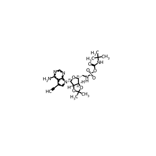 C#Cc1cn([C@@H]2O[C@H](CNS(=O)(=O)OC(=O)NC(C)(C)C)[C@H]3OC(C)(C)O[C@H]32)c2ncnc(N)c12